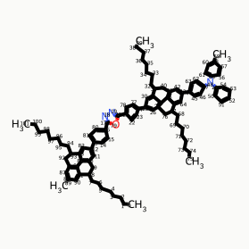 CCCCCCCCC1Cc2cc(-c3ccc(-c4nnc(-c5ccc(-c6cc7c8c(c6)C(CCCCCCCC)Cc6cc(-c9ccc(N(c%10ccccc%10)c%10ccc(C)cc%10)cc9)cc(c6-8)C(CCCCCCCC)C7)cc5)o4)cc3)cc3c2-c2c(cc(C)cc21)CC3CCCCCCCC